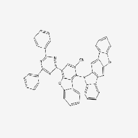 N#Cc1cc(-c2nc(-c3ccccc3)nc(-c3ccccc3)n2)c2oc3ccccc3c2c1-n1c2ccccc2c2cc3oc4ccccc4c3cc21